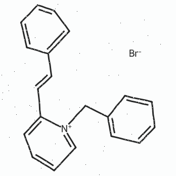 C(=Cc1cccc[n+]1Cc1ccccc1)c1ccccc1.[Br-]